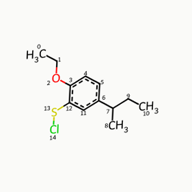 CCOc1ccc(C(C)CC)cc1SCl